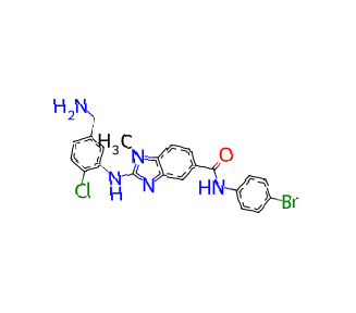 Cn1c(Nc2cc(CN)ccc2Cl)nc2cc(C(=O)Nc3ccc(Br)cc3)ccc21